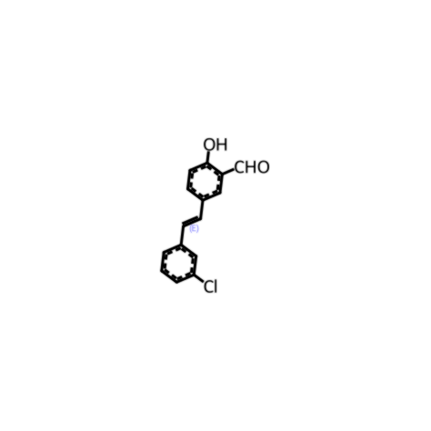 O=Cc1cc(/C=C/c2cccc(Cl)c2)ccc1O